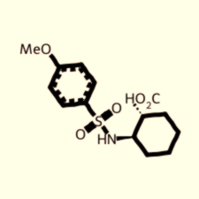 COc1ccc(S(=O)(=O)N[C@@H]2CCCC[C@H]2C(=O)O)cc1